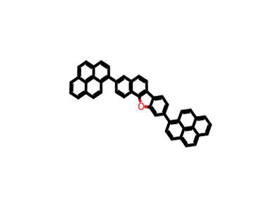 c1cc2ccc3ccc(-c4ccc5c(ccc6c7ccc(-c8ccc9ccc%10cccc%11ccc8c9c%10%11)cc7oc56)c4)c4ccc(c1)c2c34